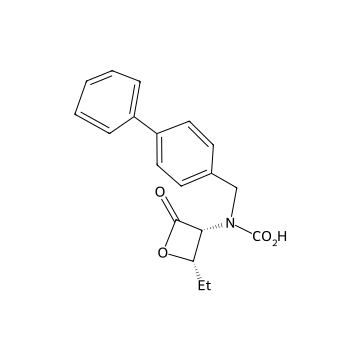 CC[C@@H]1OC(=O)[C@@H]1N(Cc1ccc(-c2ccccc2)cc1)C(=O)O